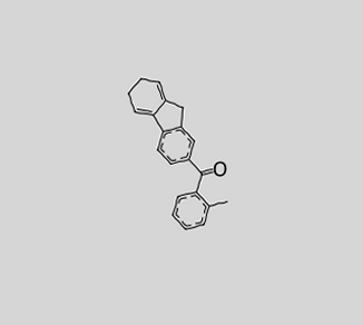 Cc1ccccc1C(=O)c1ccc2c(c1)CC1=CCCC=C12